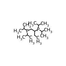 CCC(CP(C(C)C)C(C)C)P(C(C)C)C(C)C